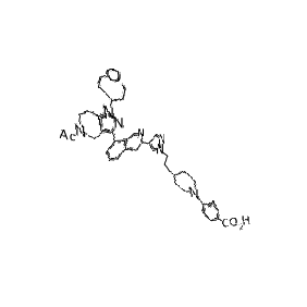 CC(=O)N1CCc2c(c(-c3cccc4cc(-c5cnn(CCC6CCN(c7ccc(C(=O)O)cc7)CC6)c5)ncc34)nn2C2CCOCC2)C1